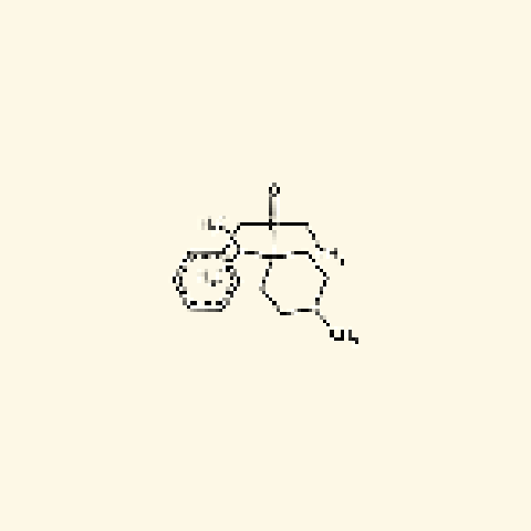 CCP(=O)(Cc1ccccc1)C1(C(C)C)CCC(C)CC1